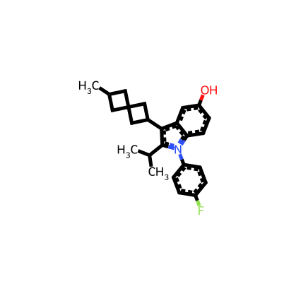 CC1CC2(C1)CC(c1c(C(C)C)n(-c3ccc(F)cc3)c3ccc(O)cc13)C2